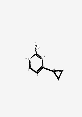 NC1=NC(C2CC2)=CCO1